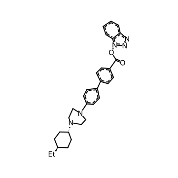 CC[C@H]1CC[C@H](N2CCN(c3ccc(-c4ccc(C(=O)On5nnc6ccccc65)cc4)cc3)CC2)CC1